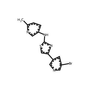 Cc1ccc(Nc2nc(-c3cncc(Br)c3)cs2)cn1